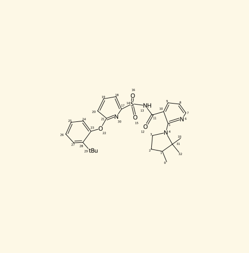 CC1CCN(c2ncccc2C(=O)NS(=O)(=O)c2cccc(Oc3ccccc3C(C)(C)C)n2)C1(C)C